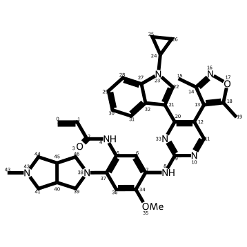 C=CC(=O)Nc1cc(Nc2ncc(-c3c(C)noc3C)c(-c3cn(C4CC4)c4ccccc34)n2)c(OC)cc1N1CC2CN(C)CC2C1